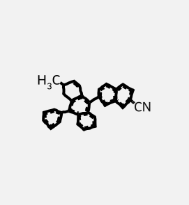 CC1C=Cc2c(c(-c3ccccc3)c3ccccc3c2-c2ccc3ccc(C#N)cc3c2)C1